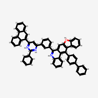 c1ccc(-c2ccc(-c3c4c(cc5c(-c6cccc(-c7cc(-c8cc9ccccc9c9ccccc89)nc(-c8ccccc8)n7)c6)nc6ccccc6c35)oc3ccccc34)cc2)cc1